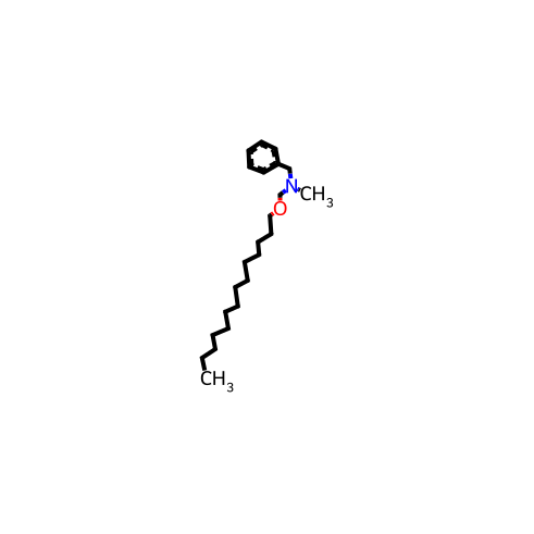 CCCCCCCCCCCCCCOCN(C)Cc1ccccc1